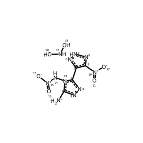 Nc1nnc(-c2n[nH]nc2[N+](=O)[O-])n1N[N+](=O)[O-].ONO